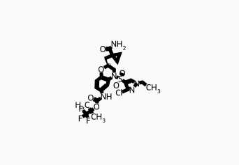 CCn1cc(S(=O)(=O)N2C[C@H](CC3(C(N)=O)CC3)Oc3ccc(NC(=O)OC(C)(C)C(F)(F)F)cc32)c(Cl)n1